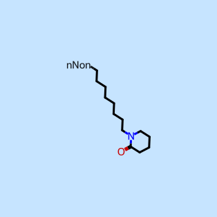 CCCCCCCCCCCCCCCCCN1CCCCC1=O